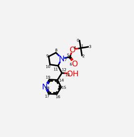 CC(C)(C)OC(=O)N1CCCC1C(O)c1cccnc1